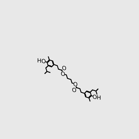 Cc1cc(CCC(=O)OCCCCOC(=O)CCc2cc(C)c(O)c(CC(C)C)c2)cc(CC(C)C)c1O